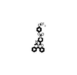 Cc1nc2c(c(=O)n1C(c1ccccc1)c1ccccc1)CCN(C(=O)Oc1ccc(OC(F)(F)F)cc1)C2